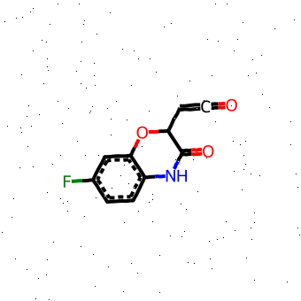 O=C=CC1Oc2cc(F)ccc2NC1=O